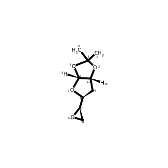 CC1(C)O[C@H]2O[C@H]([C@H]3CO3)C[C@H]2O1